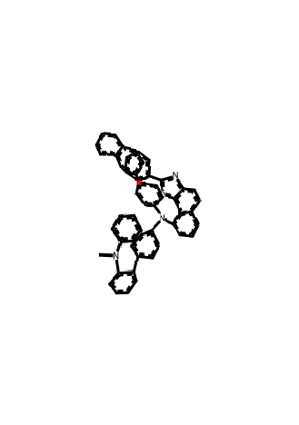 CN(c1ccccc1)c1ccccc1-c1ccc(N(c2ccc(-c3ccc4ccccc4c3)cc2)c2cccc3ccc4nc(-c5ccccc5)oc4c23)cc1